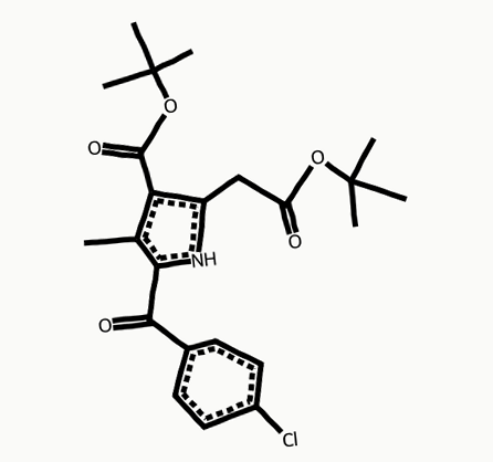 Cc1c(C(=O)c2ccc(Cl)cc2)[nH]c(CC(=O)OC(C)(C)C)c1C(=O)OC(C)(C)C